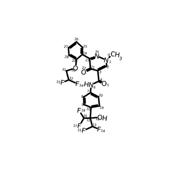 Cn1cc(C(=O)Nc2ccc(C(O)(C(F)F)C(F)F)cc2)c(=O)c(-c2ccccc2OCC(F)F)n1